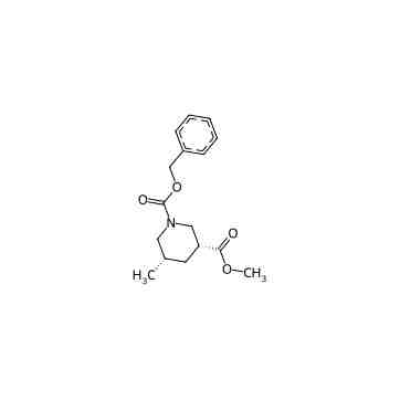 COC(=O)[C@@H]1C[C@H](C)CN(C(=O)OCc2ccccc2)C1